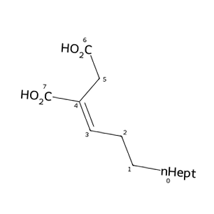 CCCCCCCCCC=C(CC(=O)O)C(=O)O